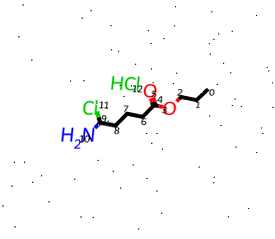 CCCOC(=O)CCCC(N)Cl.Cl